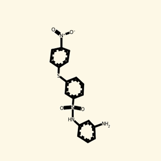 Nc1cccc(NS(=O)(=O)c2cccc(Sc3ccc([N+](=O)[O-])cc3)c2)c1